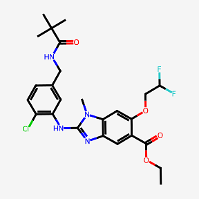 CCOC(=O)c1cc2nc(Nc3cc(CNC(=O)C(C)(C)C)ccc3Cl)n(C)c2cc1OCC(F)F